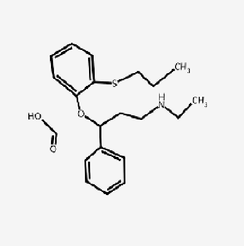 CCCSc1ccccc1OC(CCNCC)c1ccccc1.O=CO